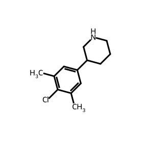 Cc1cc(C2CCCNC2)cc(C)c1Cl